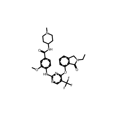 CCN1Cc2cccc(Oc3nc(Nc4ccc(C(=O)NC5CCN(C)CC5)cc4OC)ncc3C(F)(F)F)c2C1=O